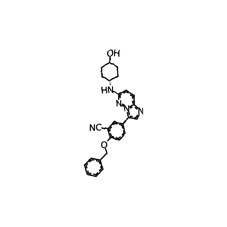 N#Cc1cc(-c2cnc3ccc(N[C@H]4CC[C@H](O)CC4)nn23)ccc1OCc1ccccc1